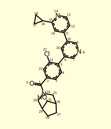 O=C(c1ccc(-c2cncc(-c3ccnc(C4CC4)c3)c2)c(Cl)c1)N1CC2CCC(C1)C2O